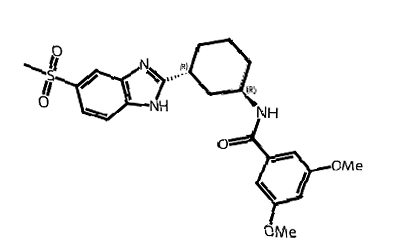 COc1cc(OC)cc(C(=O)N[C@@H]2CCC[C@@H](c3nc4cc(S(C)(=O)=O)ccc4[nH]3)C2)c1